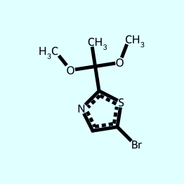 COC(C)(OC)c1ncc(Br)s1